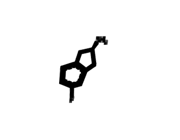 N[C@@H]1Cc2ccc(F)cc2C1